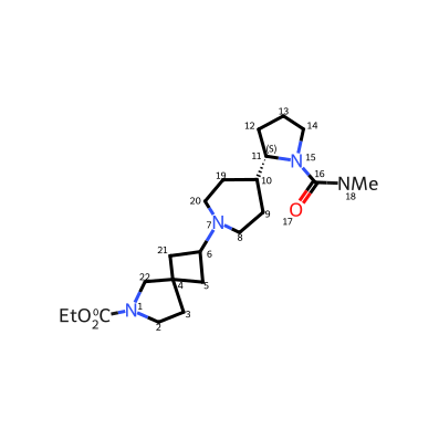 CCOC(=O)N1CCC2(CC(N3CCC([C@@H]4CCCN4C(=O)NC)CC3)C2)C1